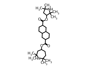 CC1(C)CCC(OC(=O)C2CCC3CC(C(=O)OC4CC(C)(C)NC4(C)C)CCC3C2)CC(C)(C)N1